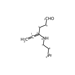 C=C=C(CCC=O)NCCC(C)C